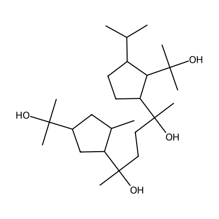 CC(C)C1CCC(C(C)(O)CCC(C)(O)C2CC(C(C)(C)O)CC2C)C1C(C)(C)O